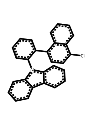 Clc1ccc(-c2ccccc2-n2c3ccccc3c3ccccc32)c2ccccc12